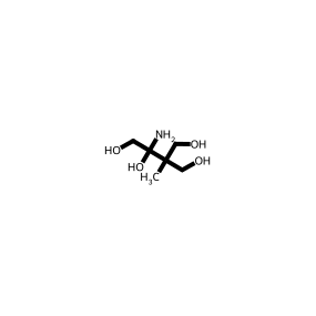 CC(CO)(CO)C(N)(O)CO